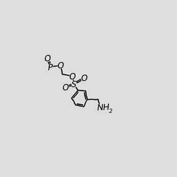 NCc1cccc(S(=O)(=O)OCOP=O)c1